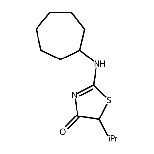 CC(C)C1SC(NC2CCCCCC2)=NC1=O